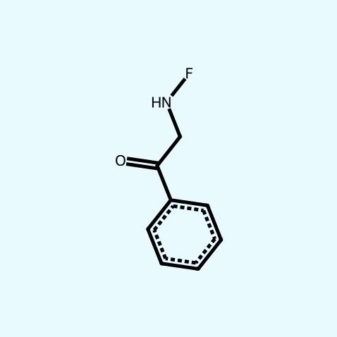 O=C(CNF)c1ccccc1